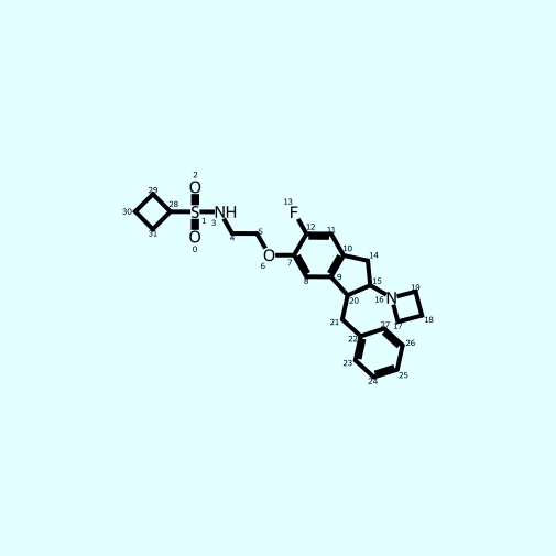 O=S(=O)(NCCOc1cc2c(cc1F)CC(N1CCC1)C2Cc1ccccc1)C1CCC1